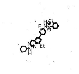 CCc1cc(-c2ccc(NS(=O)(=O)c3ccccc3Cl)c(F)c2)cc2cnc(NC3CCCCC3)nc12